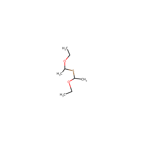 CCOC(C)SC(C)OCC